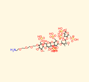 CO[C@H]1O[C@H](COS(=O)(=O)O)[C@@H](O[C@@H]2OC[C@@H](O[C@H]3O[C@H](COS(=O)(=O)O)[C@@H](O[C@@H]4O[C@H](C(=O)O)[C@@H](O[C@H]5O[C@H](COS(=O)(=O)O)[C@@H](OCCOCCOCCOCCN)[C@H](OC)[C@H]5OC)[C@H](OC)[C@H]4OC)[C@H](OS(=O)(=O)O)[C@H]3OS(=O)(=O)O)[C@H](C)[C@H]2OC)[C@H](OS(=O)(=O)O)[C@H]1OS(=O)(=O)O